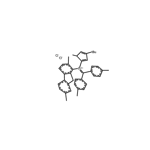 Cc1ccc([C](c2ccc(C)cc2)=[Zr+2]([C]2=CC(C(C)(C)C)=CC2C)[c]2c(C)ccc3c2Cc2cc(C)ccc2-3)cc1.[Cl-].[Cl-]